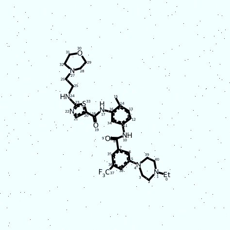 CCN1CCN(c2cc(C(=O)Nc3ccc(C)c(NC(=O)c4cnc(NCCN5CCOCC5)s4)c3)cc(C(F)(F)F)c2)CC1